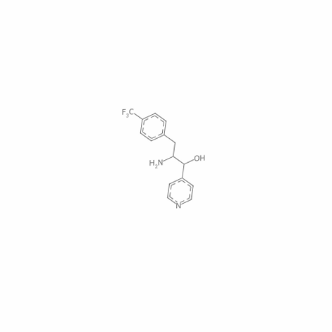 NC(Cc1ccc(C(F)(F)F)cc1)C(O)c1ccncc1